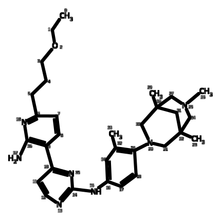 CCOCCCc1ccc(-c2ccnc(Nc3ccc(N4CC5(C)CN(C)CC(C)(C4)C5)c(C)c3)n2)c(N)n1